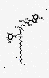 CCCCCCCC/C=C/CCCCCCCCOC[C@H](COP(=O)(O)OC[C@@H](OC#N)[C@@H](O)[C@@H](O)c1ccc2c(N)ncnn12)OCc1cc(F)cc(C#N)c1